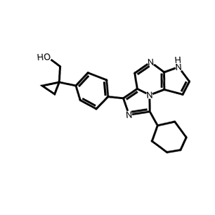 OCC1(c2ccc(-c3nc(C4CCCCC4)n4c3cnc3[nH]ccc34)cc2)CC1